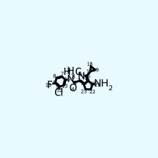 Cn1c(C(=O)Nc2ccc(F)c(Cl)c2)c2c(c1C1CC1)C(N)CC2